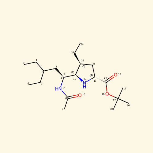 CCC(CC)C[C@H](NC(C)=O)[C@@H]1N[C@@H](C(=O)OC(C)(C)C)C[C@@H]1CC